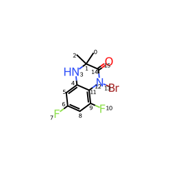 CC1(C)Nc2cc(F)cc(F)c2N(Br)C1=O